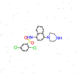 O=S(=O)(Nc1ccc(N2CCNCC2)c2ccccc12)c1cc(Cl)ccc1Cl